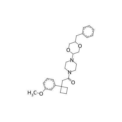 COc1cccc(C2(CC(=O)N3CCN(C4COC(Cc5ccccc5)CO4)CC3)CCC2)c1